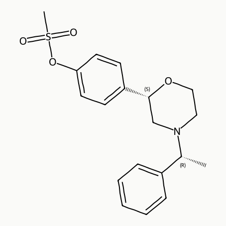 C[C@H](c1ccccc1)N1CCO[C@@H](c2ccc(OS(C)(=O)=O)cc2)C1